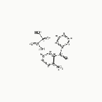 O=C(O)C(=O)O.O=C(c1ccccc1)c1ccccc1[N+](=O)[O-]